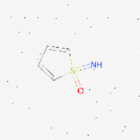 N=S1(=O)C=CC=C1